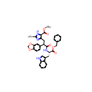 CCCc1nc(CC(C(=O)N[C@@H](Cc2c[nH]c3ccccc23)C(=O)OCc2ccccc2)c2ccc3c(c2)OCO3)c(C(=O)OC(C)(C)C)[nH]1